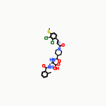 CSc1ccc(/C=C/C(=O)N2CCC(C(=O)N[C@@H](CNC(=O)c3ccccc3C)C(=O)O)CC2)c(Cl)c1Cl